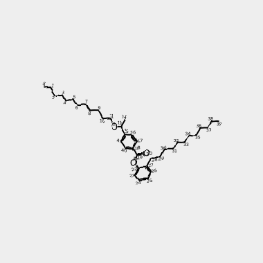 CCCCCCCCCCCCOC(C)c1ccc(C(=O)Oc2ccccc2CCCCCCCCCCCC)cc1